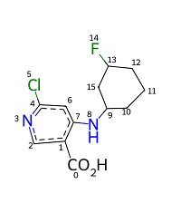 O=C(O)c1cnc(Cl)cc1NC1CCCC(F)C1